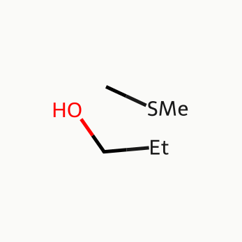 CCCO.CSC